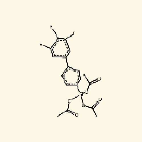 CC(=O)O[Si](OC(C)=O)(OC(C)=O)c1ccc(-c2cc(F)c(F)c(F)c2)cc1